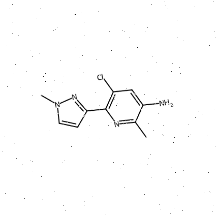 Cc1nc(-c2ccn(C)n2)c(Cl)cc1N